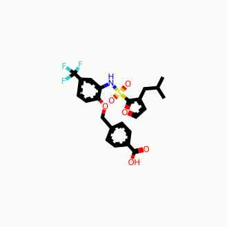 CC(C)Cc1ccoc1S(=O)(=O)Nc1cc(C(F)(F)F)ccc1OCc1ccc(C(=O)O)cc1